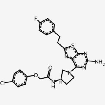 Nc1nc(N2CC[C@@H](NC(=O)COc3ccc(Cl)cc3)C2)c2nc(CCc3ccc(F)cc3)sc2n1